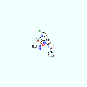 CNS(=O)(=O)C(C)C(C)(NC(=S)NC(=O)c1ccccc1)c1nc(Br)cs1